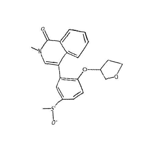 Cn1cc(-c2cc([S+](C)[O-])ccc2OC2CCOC2)c2ccccc2c1=O